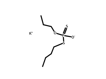 CCCCSP([O-])(=S)OCCC.[K+]